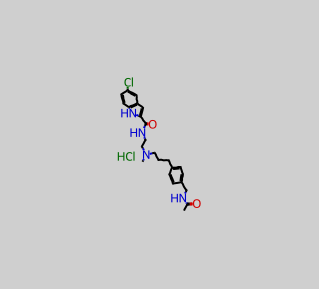 CC(=O)NCc1ccc(CCCN(C)CCNC(=O)c2cc3cc(Cl)ccc3[nH]2)cc1.Cl